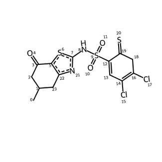 CC1CC(=O)c2sc(NS(=O)(=O)C3=CC(Cl)=C(Cl)CC3=S)nc2C1